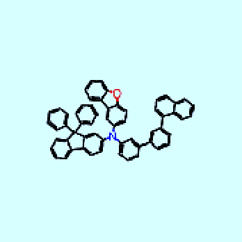 c1ccc(C2(c3ccccc3)c3ccccc3-c3ccc(N(c4cccc(-c5cccc(-c6cccc7ccccc67)c5)c4)c4ccc5oc6ccccc6c5c4)cc32)cc1